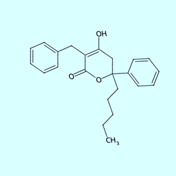 CCCCCC1(c2ccccc2)CC(O)=C(Cc2ccccc2)C(=O)O1